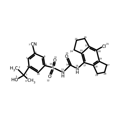 CC(C)(O)c1cc(C#N)cc(S(=O)(=O)NC(=O)Nc2c3c(c(Cl)c4c2CCC4)CCC3)c1